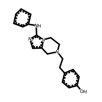 Oc1ccc(CCN2CCn3c(cnc3Nc3ccccc3)C2)cc1